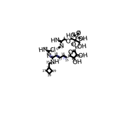 C=NC(=N)COCC(CO)(OC[C@H]1O[C@@H](/C=C/C=C/C(=N\C(=N)Cl)NCC2CCC2)[C@H](O)[C@@H]1O)P(=O)(O)O